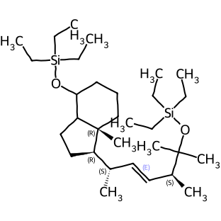 CC[Si](CC)(CC)OC1CCC[C@@]2(C)C1CC[C@@H]2[C@@H](C)/C=C/[C@H](C)C(C)(C)O[Si](CC)(CC)CC